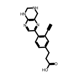 C#Cc1cc(CCC(=O)O)ccc1-c1cnc2c(n1)CNCN2